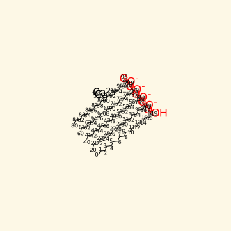 CCCCCCCCCCCCCCCCCC(=O)O.CCCCCCCCCCCCCCCCCC(=O)[O-].CCCCCCCCCCCCCCCCCC(=O)[O-].CCCCCCCCCCCCCCCCCC(=O)[O-].CCCCCCCCCCCCCCCCCC(=O)[O-].[Ca+2].[Ca+2]